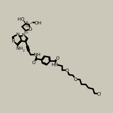 Nc1ncnc2c1c(C#CCNC(=O)c1ccc(C(=O)NCCOCCOCCCCCCCl)cc1)cn2[C@@H]1C[C@@H](O)[C@H](CO)O1